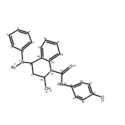 CC(=O)N(c1ccccc1)C1CC(C)N(C(=O)Nc2ccc(Cl)cc2)c2ccccc21